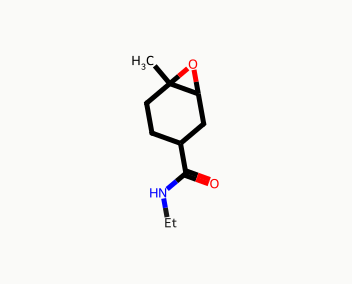 CCNC(=O)C1CCC2(C)OC2C1